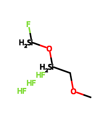 COC[SiH2]O[SiH2]F.F.F.F